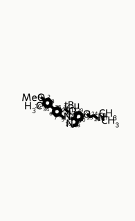 COc1ccc(-c2ccc(CN(C(=O)CC(C)(C)C)c3nccc4cc(OCCCN(C)C)ccc34)cc2)cc1C